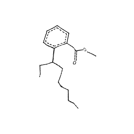 CCCCCC(CC)c1ccccc1C(=O)OC